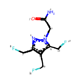 NC(=O)Cn1nc(CF)c(CF)c1CF